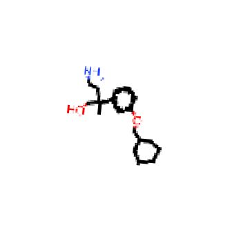 CC(CO)(CCN)c1cccc(OCC2CCCCC2)c1